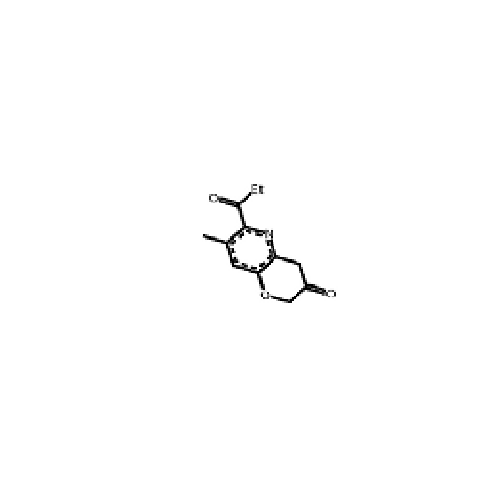 CCC(=O)c1nc2c(cc1C)OCC(=O)C2